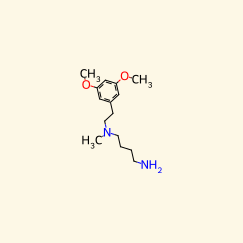 COc1cc(CCN(C)CCCCN)cc(OC)c1